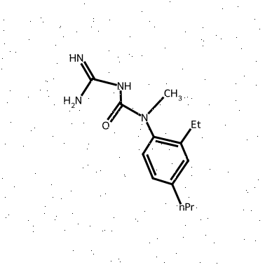 CCCc1ccc(N(C)C(=O)NC(=N)N)c(CC)c1